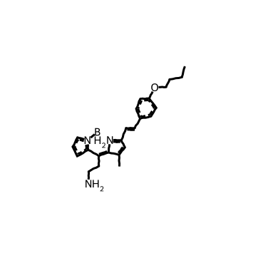 Bn1cccc1/C(CCN)=C1N=C(/C=C/c2ccc(OCCCC)cc2)C=C\1C